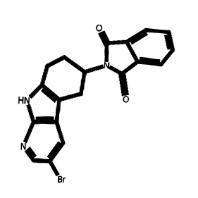 O=C1c2ccccc2C(=O)N1C1CCc2[nH]c3ncc(Br)cc3c2C1